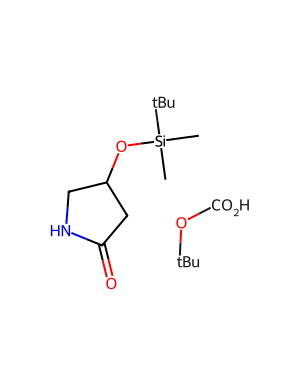 CC(C)(C)OC(=O)O.CC(C)(C)[Si](C)(C)OC1CNC(=O)C1